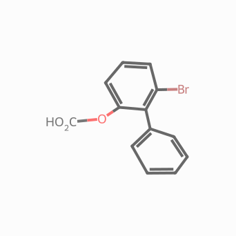 O=C(O)Oc1cccc(Br)c1-c1ccccc1